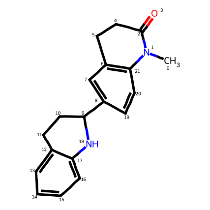 CN1C(=O)CCc2cc(C3CCc4ccccc4N3)ccc21